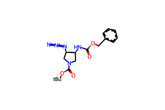 CC(C)(C)OC(=O)N1C[C@H](NC(=O)OCc2ccccc2)[C@H](N=[N+]=[N-])C1